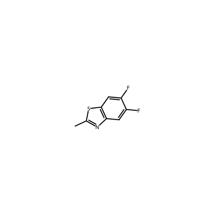 Cc1nc2cc(F)c(F)cc2s1